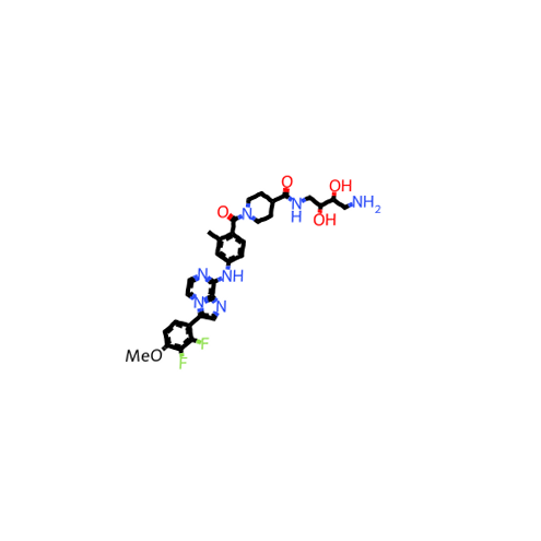 COc1ccc(-c2cnc3c(Nc4ccc(C(=O)N5CCC(C(=O)NCC(O)C(O)CN)CC5)c(C)c4)nccn23)c(F)c1F